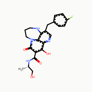 C[C@@H](CO)NC(=O)c1c(O)c2ncc(Cc3ccc(F)cc3)c3c2n(c1=O)CCCN3